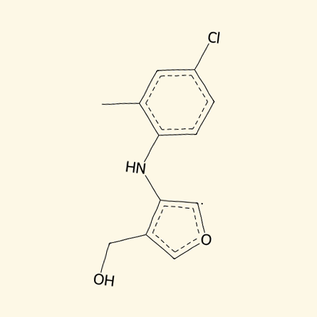 Cc1cc(Cl)ccc1Nc1[c]occ1CO